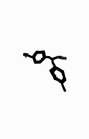 CCCCCCCCCC(c1ccc(C)cc1)c1ccc(N)cc1